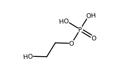 O=P(O)(O)OCCO